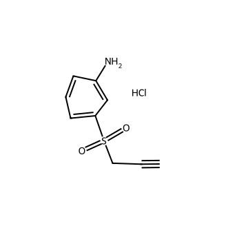 C#CCS(=O)(=O)c1cccc(N)c1.Cl